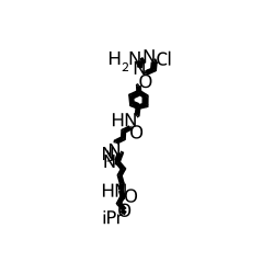 CC(C)OCC(=O)NCCCc1cn(CCCC(=O)NCc2ccc(COc3cc(Cl)nc(N)n3)cc2)nn1